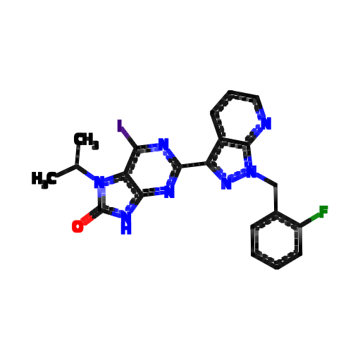 CC(C)n1c(=O)[nH]c2nc(-c3nn(Cc4ccccc4F)c4ncccc34)nc(I)c21